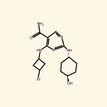 CCC1CC(Nc2nc(N[C@H]3CC[C@H](O)CC3)ncc2C(N)=O)C1